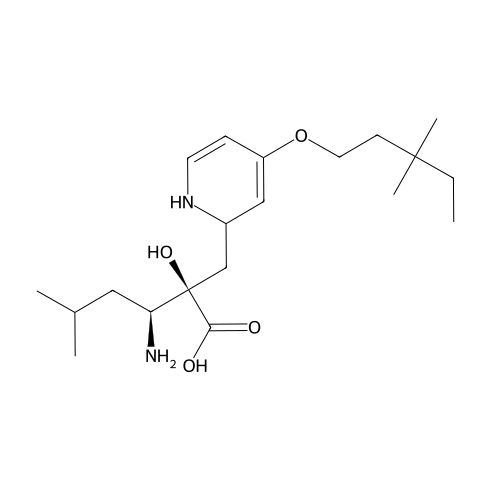 CCC(C)(C)CCOC1=CC(C[C@](O)(C(=O)O)[C@@H](N)CC(C)C)NC=C1